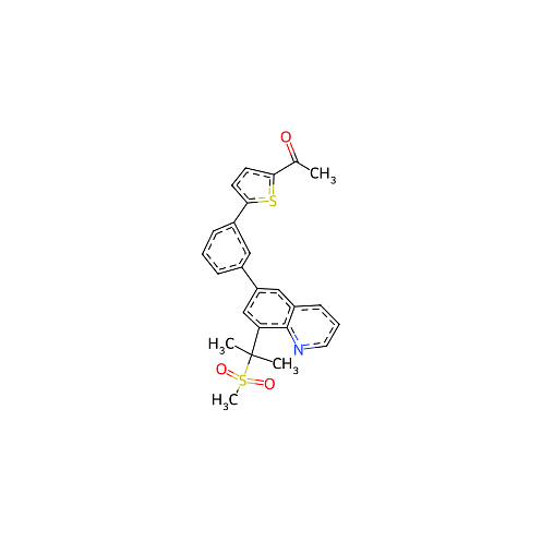 CC(=O)c1ccc(-c2cccc(-c3cc(C(C)(C)S(C)(=O)=O)c4ncccc4c3)c2)s1